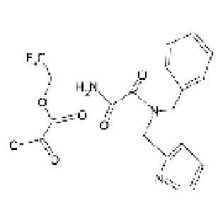 NC(=O)C(=O)N(Cc1ccccc1)Cc1ccccn1.O=C(Cl)C(=O)OCC(F)(F)F